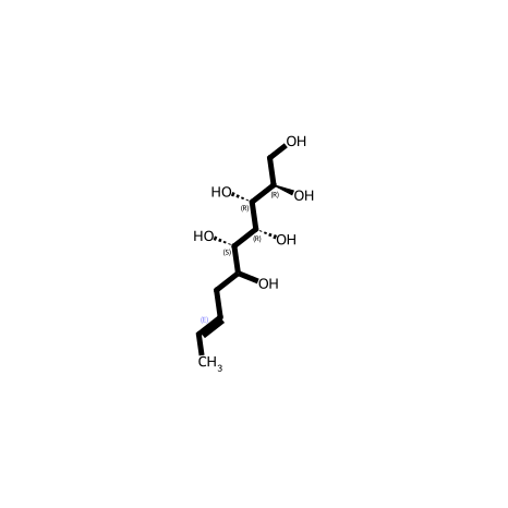 C/C=C/CC(O)[C@H](O)[C@@H](O)[C@H](O)[C@H](O)CO